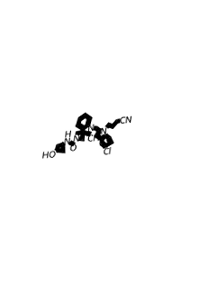 C=C1N(Cc2cc3cc(Cl)ccc3n2CCCC#N)c2ccccc2C12CN(C(=O)NC1CC(O)C1)C2